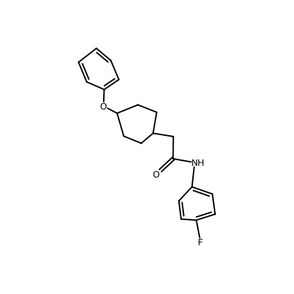 O=C(CC1CCC(Oc2ccccc2)CC1)Nc1ccc(F)cc1